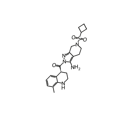 Cc1cccc2c1NCC[C@@H]2C(=O)n1nc2c(c1N)CCN(S(=O)(=O)C1CCC1)C2